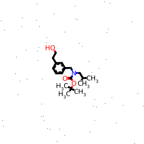 CC(C)CN(Cc1cccc(CCO)c1)C(=O)OC(C)(C)C